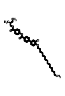 CCCCCCCCCCCCCCCCOc1ccc(-c2ccc(C(=O)Oc3ccc(C(=O)OC[C@@H](C)CC)cc3)cc2)cc1Cl